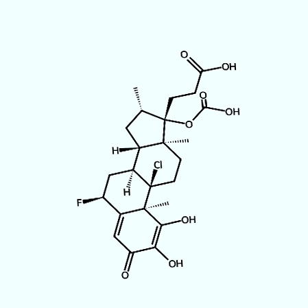 C[C@H]1C[C@H]2[C@@H]3C[C@H](F)C4=CC(=O)C(O)=C(O)[C@]4(C)[C@@]3(Cl)CC[C@]2(C)[C@@]1(CCC(=O)O)OC(=O)O